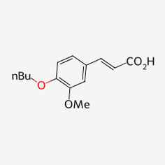 CCCCOc1ccc(C=CC(=O)O)cc1OC